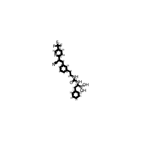 N#C/C(=C\c1cccc(CCNC(=O)NC(Cc2ccccc2)B(O)O)c1)c1ccc(C(F)(F)F)cn1